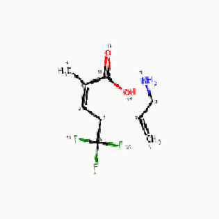 C=CCN.CC(=CCC(F)(F)F)C(=O)O